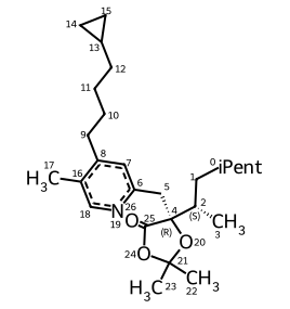 CCCC(C)C[C@H](C)[C@@]1(Cc2cc(CCCCC3CC3)c(C)cn2)OC(C)(C)OC1=O